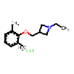 CCN1CC(COc2c(C)cccc2C)C1.Cl